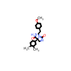 COc1ccc(CCN2C(=O)[N]CC2(C(N)=O)c2ccc(C)c(C)c2)cc1